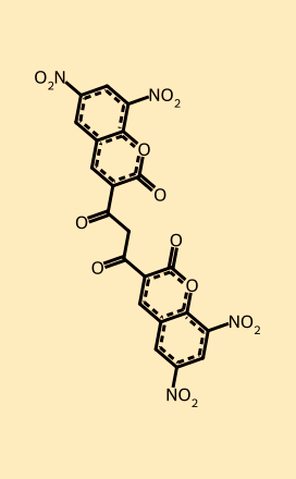 O=C(CC(=O)c1cc2cc([N+](=O)[O-])cc([N+](=O)[O-])c2oc1=O)c1cc2cc([N+](=O)[O-])cc([N+](=O)[O-])c2oc1=O